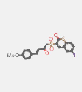 COc1ccc(C=CC(=O)CS(=O)(=O)c2cc3cc(I)ccc3sc2=O)cc1